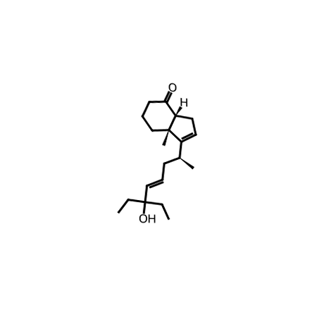 CCC(O)(/C=C/C[C@H](C)C1=CC[C@H]2C(=O)CCC[C@@]12C)CC